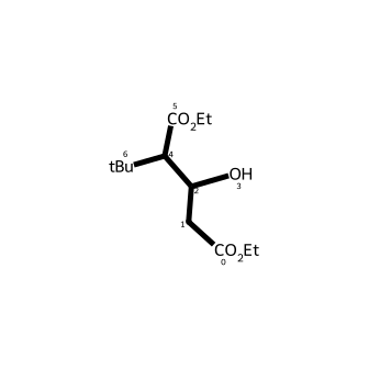 CCOC(=O)CC(O)C(C(=O)OCC)C(C)(C)C